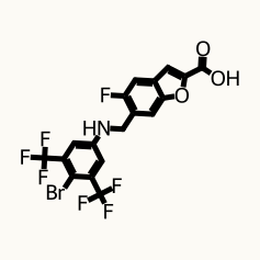 O=C(O)c1cc2cc(F)c(CNc3cc(C(F)(F)F)c(Br)c(C(F)(F)F)c3)cc2o1